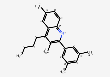 CCCCc1c(C)c(-c2cc(C)cc(C)c2)nc2ccc(C)cc12